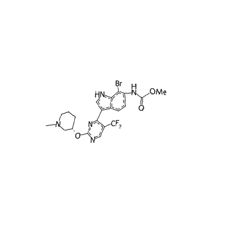 COC(=O)Nc1ccc2c(-c3nc(O[C@H]4CCCN(C)C4)ncc3C(F)(F)F)c[nH]c2c1Br